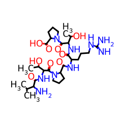 CC(C)C(N)C(=O)NC(C(=O)N1CCCC1C(=O)NC(CCCNC(=N)N)C(=O)NC(C(=O)N1CCCC1C(=O)O)C(C)O)C(C)O